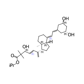 C=C(/C=C/[C@@H](O)C(C)(C)C(=O)OC(C)C)[C@H]1CC[C@H]2/C(=C/C=C3C[C@@H](O)C[C@H](O)C3)CCC[C@]12C